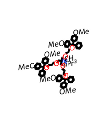 [CH2]CCN(C)C(COCCCOC(c1ccccc1)(c1ccc(OC)cc1)c1ccc(OC)cc1)(COCCCOC(c1ccccc1)(c1ccc(OC)cc1)c1ccc(OC)cc1)COCCCOC(c1ccccc1)(c1ccc(OC)cc1)c1ccc(OC)cc1